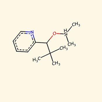 C[SiH](C)OC(c1ccccn1)C(C)(C)C